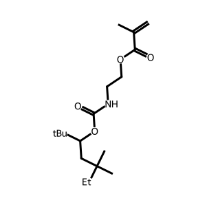 C=C(C)C(=O)OCCNC(=O)OC(CC(C)(C)CC)C(C)(C)C